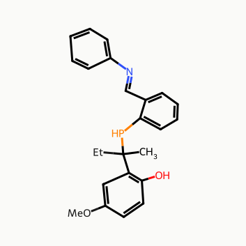 CCC(C)(Pc1ccccc1/C=N/c1ccccc1)c1cc(OC)ccc1O